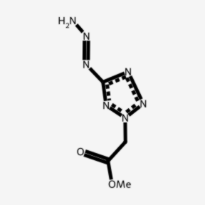 COC(=O)Cn1nnc(N=NN)n1